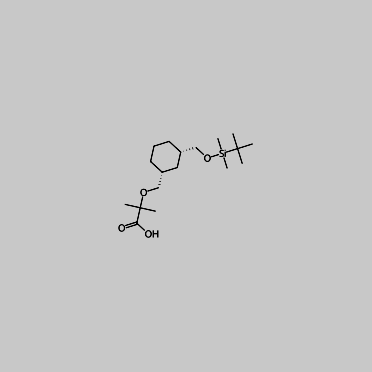 CC(C)(OC[C@@H]1CCC[C@H](CO[Si](C)(C)C(C)(C)C)C1)C(=O)O